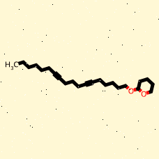 CCCCCCC#CCCCC#CCCCCCOC1CCCCO1